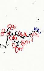 CCCCC(C)C(OC(=O)CC(CC(=O)O)CC(=O)O)C(CC(=O)CC(CC(=O)O)CC(=O)O)CC(C)CC(O)CCCCC(O)CC(O)C(N)CC